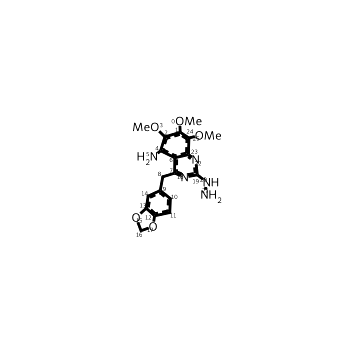 COc1c(OC)c(N)c2c(Cc3ccc4c(c3)OCO4)nc(NN)nc2c1OC